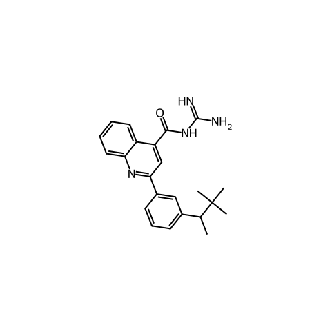 CC(c1cccc(-c2cc(C(=O)NC(=N)N)c3ccccc3n2)c1)C(C)(C)C